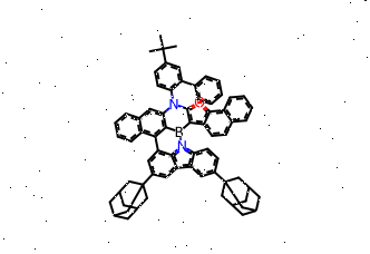 CC(C)(C)c1ccc(N2c3cc4ccccc4c4c3B(c3c2oc2c3ccc3ccccc32)n2c3ccc(C56CC7CC(CC(C7)C5)C6)cc3c3cc(C56CC7CC(CC(C7)C5)C6)cc-4c32)c(-c2ccccc2)c1